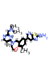 Cc1cc(-c2cnc3sc(N)nc3c2)cc2c1OCCN(c1nc(CN(C)C)ncc1C(C)C)C2